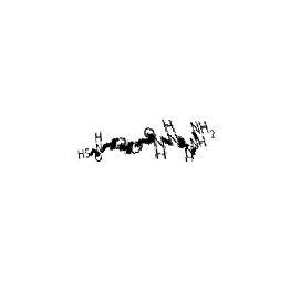 CC(CNCCN)NCC(C)(C)NCCNC(=O)CCOC(C)(C)COC(C)(C)CCNC(=O)CCS